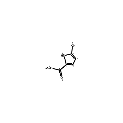 COC(=O)c1ccc(C#N)[nH]1